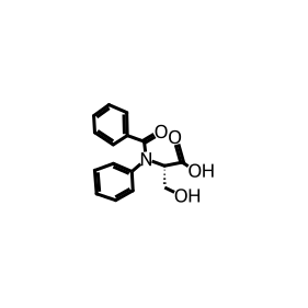 O=C(O)[C@H](CO)N(C(=O)c1ccccc1)c1ccccc1